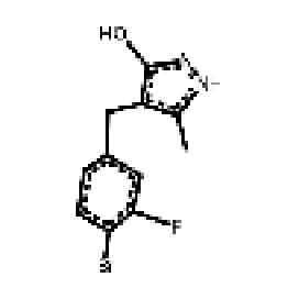 Cc1[nH]nc(O)c1Cc1ccc(Br)c(F)c1